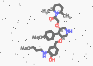 COCCCNc1cc(CO[C@H]2CNC[C@@H](OCC(=O)N3C(C)CCC[C@H]3C)C2c2ccc(OC)cc2)ccc1O